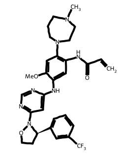 C=CC(=O)Nc1cc(Nc2cc(N3OCC[C@@H]3c3cccc(C(F)(F)F)c3)ncn2)c(OC)cc1N1CCCN(C)CC1